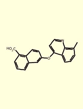 Cc1cccc2c(Oc3ccc4c(C(=O)O)cccc4c3)ccnc12